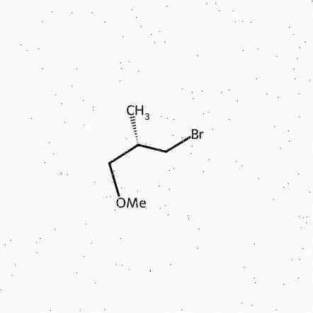 COC[C@H](C)CBr